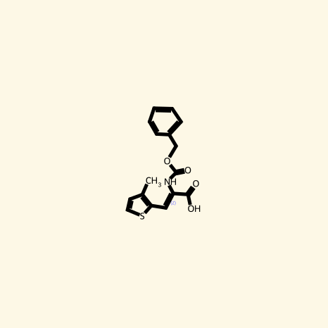 Cc1ccsc1/C=C(\NC(=O)OCc1ccccc1)C(=O)O